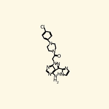 Nc1ncnc2c1c(-c1ncc[nH]1)nn2CC(=O)N1CCN(c2ccc(Cl)cc2)CC1